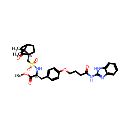 CC(C)(C)OC(=O)[C@H](Cc1ccc(OCCCC(=O)Nc2nc3ccccc3[nH]2)cc1)NS(=O)(=O)C[C@@]12CCC(CC1=O)C2(C)C